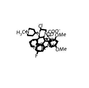 CCOc1ncccc1C1C(C2C(=O)Nc3cc(F)ccc32)[N+](C(=O)[O-])(S(=O)(=O)c2ccc(OC)cc2OC)CC(Cl)N1C1CCN(C)CC1